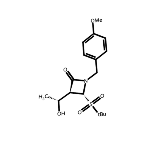 COc1ccc(CN2C(=O)[C@H]([C@@H](C)O)[C@H]2S(=O)(=O)C(C)(C)C)cc1